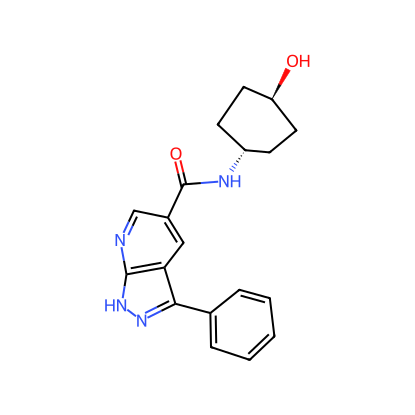 O=C(N[C@H]1CC[C@H](O)CC1)c1cnc2[nH]nc(-c3ccccc3)c2c1